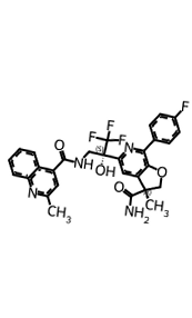 Cc1cc(C(=O)NC[C@](O)(c2cc3c(c(-c4ccc(F)cc4)n2)OC[C@]3(C)C(N)=O)C(F)(F)F)c2ccccc2n1